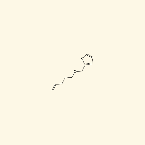 C=CCCCOCc1cccs1